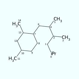 CC(C)CC(C)C(C)CC1CCC(C)CC1C